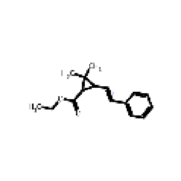 CCOC(=O)C1C(/C=C/c2ccccc2)C1(C)C